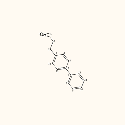 O=[C]CCc1ccc(-c2ccccc2)cc1